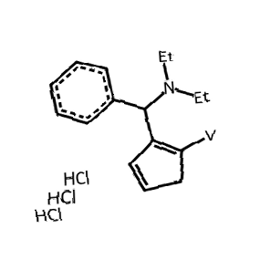 CCN(CC)C(C1=[C]([V])CC=C1)c1ccccc1.Cl.Cl.Cl